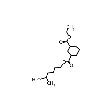 CCOC(=O)C1CCCC(C(=O)OCCCCC(C)C)C1